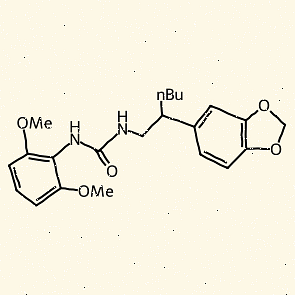 CCCCC(CNC(=O)Nc1c(OC)cccc1OC)c1ccc2c(c1)OCO2